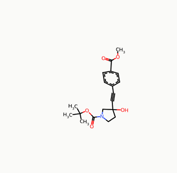 COC(=O)c1ccc(C#CC2(O)CCN(C(=O)OC(C)(C)C)C2)cc1